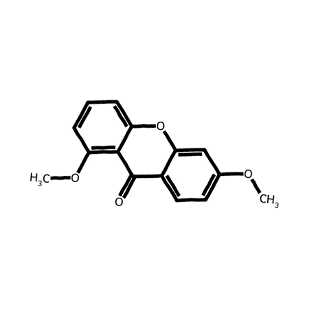 COc1ccc2c(=O)c3c(OC)cccc3oc2c1